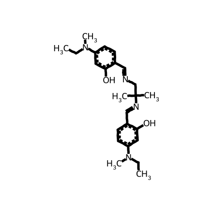 CCN(C)c1ccc(C=NCC(C)(C)N=Cc2ccc(N(C)CC)cc2O)c(O)c1